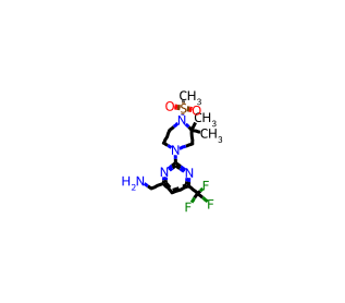 CC1(C)CN(c2nc(CN)cc(C(F)(F)F)n2)CCN1S(C)(=O)=O